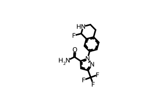 NC(=O)c1cc(C(F)(F)F)nn1-c1ccc2c(c1)C(F)NCC2